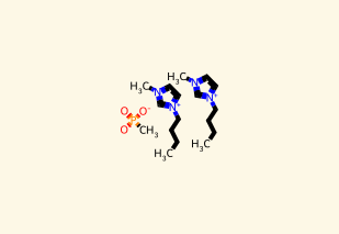 CCCC[n+]1ccn(C)c1.CCCC[n+]1ccn(C)c1.CP(=O)([O-])[O-]